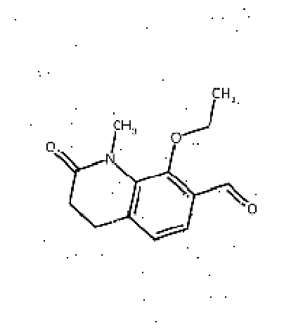 CCOc1c(C=O)ccc2c1N(C)C(=O)CC2